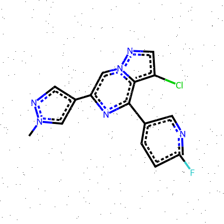 Cn1cc(-c2cn3ncc(Cl)c3c(-c3ccc(F)nc3)n2)cn1